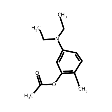 CCN(CC)c1ccc(C)c(OC(C)=O)c1